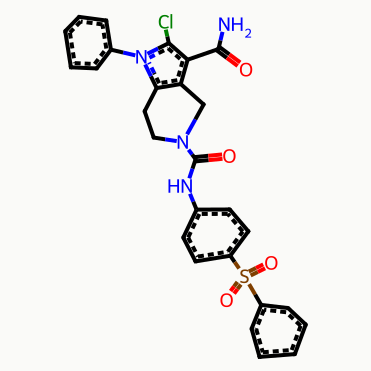 NC(=O)c1c2c(n(-c3ccccc3)c1Cl)CCN(C(=O)Nc1ccc(S(=O)(=O)c3ccccc3)cc1)C2